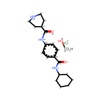 Cl.O=C(NC1CCCCC1)c1ccc(NC(=O)C2CCNCC2)cc1.O=C(O)O